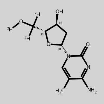 [2H]OC([2H])([2H])[C@H]1O[C@@H](n2cc(C)c(N)nc2=O)C[C@@H]1O